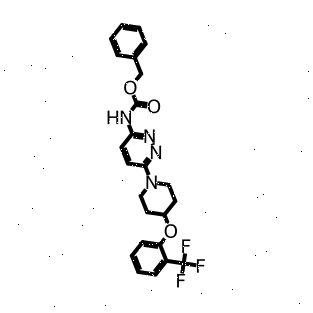 O=C(Nc1ccc(N2CCC(Oc3ccccc3C(F)(F)F)CC2)nn1)OCc1ccccc1